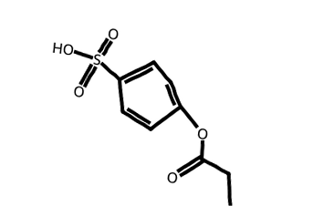 NCC(=O)Oc1ccc(S(=O)(=O)O)cc1